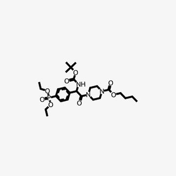 CCCCOC(=O)N1CCN(C(=O)C(NC(=O)OC(C)(C)C)c2ccc(P(=O)(OCC)OCC)cc2)CC1